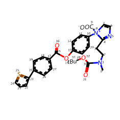 CN(CCC1=NC=C[N+]1(C(=O)[O-])c1ccc(OC(=O)c2ccc(-c3cccs3)cc2)cc1)C(=O)OC(C)(C)C